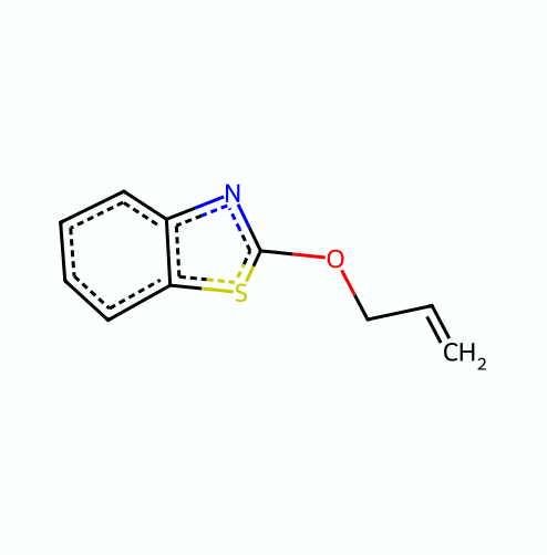 C=CCOc1nc2ccccc2s1